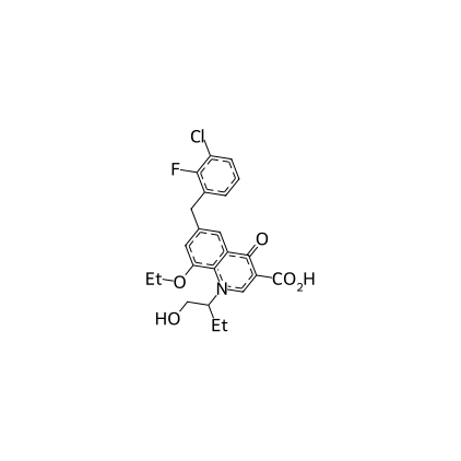 CCOc1cc(Cc2cccc(Cl)c2F)cc2c(=O)c(C(=O)O)cn(C(CC)CO)c12